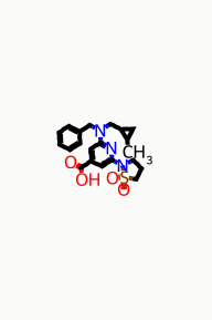 CC1CC1CN(Cc1ccccc1)c1cc(C(=O)O)cc(N2CCCS2(=O)=O)n1